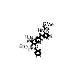 CCOC(=O)c1c(OC(=O)c2ccccc2)c2ncc(Cc3ccc(F)cc3NC(=O)COC)cc2n(C)c1=O